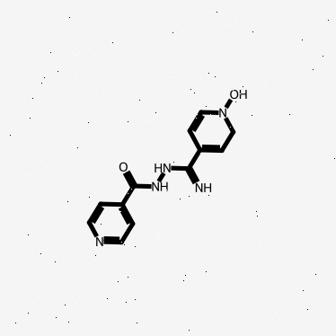 N=C(NNC(=O)c1ccncc1)C1=CCN(O)C=C1